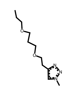 CCCOCCCOCCc1cn(C)nn1